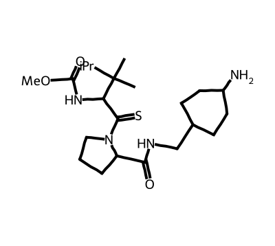 COC(=O)NC(C(=S)N1CCCC1C(=O)NCC1CCC(N)CC1)C(C)(C)C(C)C